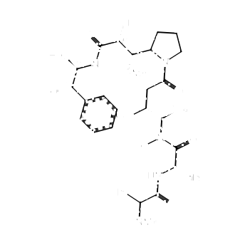 CC[C@H](C)[C@@H](C(CC(=O)N1CCCC1[C@H](OC)[C@@H](C)C(=O)N[C@H](C)[C@@H](O)c1ccccc1)OC)N(C)C(=O)[C@@H](NC(=O)C(NC)C(C)C)C(C)C